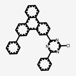 Clc1nc(-c2ccccc2)nc(-c2ccc3c4ccccc4c4ccc(-c5ccccc5)cc4c3c2)n1